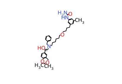 Cc1cc(CCCCOCCCCCCN(Cc2ccccc2)C[C@H](O)c2ccc3c(c2)COC(C)(C)O3)cc(NC(N)=O)c1